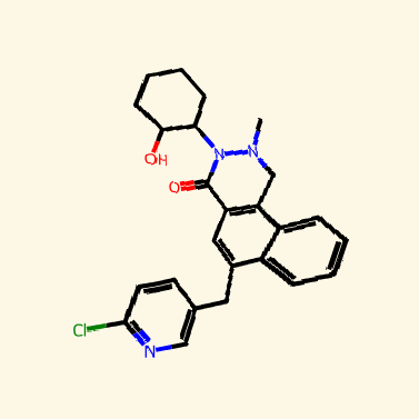 CN1Cc2c(cc(Cc3ccc(Cl)nc3)c3ccccc23)C(=O)N1C1CCCCC1O